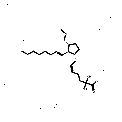 CCCCCC/C=C/[C@@H]1[C@@H](C/C=C\CCC(O)(O)C(=O)O)CC[C@H]1CNC